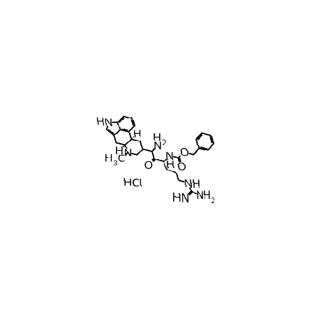 CN1CC(C(N)C(=O)[C@H](CCCNC(=N)N)NC(=O)OCc2ccccc2)C[C@@H]2c3cccc4[nH]cc(c34)C[C@H]21.Cl